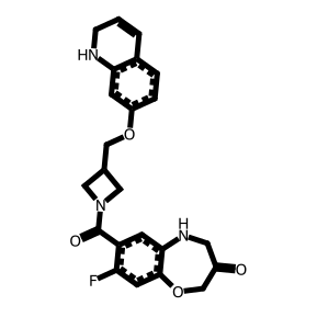 O=C1CNc2cc(C(=O)N3CC(COc4ccc5c(c4)NCC=C5)C3)c(F)cc2OC1